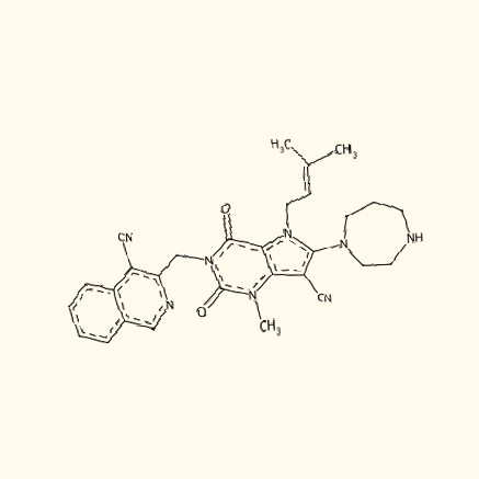 CC(C)=CCn1c(N2CCCNCC2)c(C#N)c2c1c(=O)n(Cc1ncc3ccccc3c1C#N)c(=O)n2C